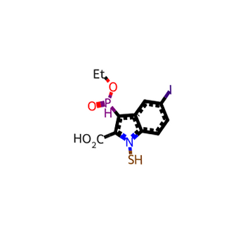 CCO[PH](=O)c1c(C(=O)O)n(S)c2ccc(I)cc12